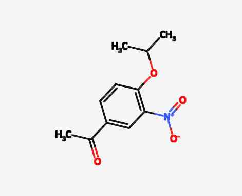 CC(=O)c1ccc(OC(C)C)c([N+](=O)[O-])c1